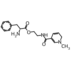 CN1C=C(C(=O)NCCOC(=O)[C@@H](N)Cc2ccccc2)C=CC1